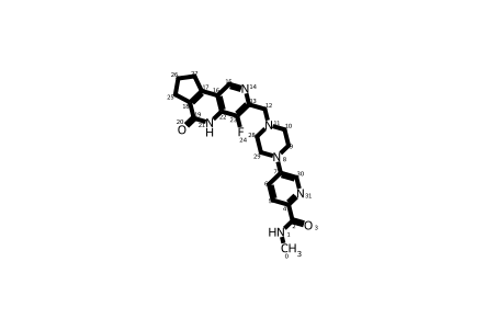 CNC(=O)c1ccc(N2CCN(Cc3ncc4c5c(c(=O)[nH]c4c3F)CCC5)CC2)cn1